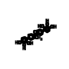 CC(C)(C1CCC(c2ccc(O)c(O)c2O)CC1)C1CCC(c2ccc(O)c(O)c2O)CC1